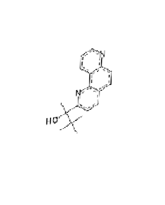 CC(C)(C)C(C)(O)c1ccc2ccc3ncccc3c2n1